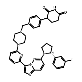 O=C1CCC(c2ccc(CN3CCN(c4cccc(-c5cnc6ccc(N7CCC[C@@H]7c7cccc(F)c7)nn56)n4)CC3)cc2)C(=O)N1